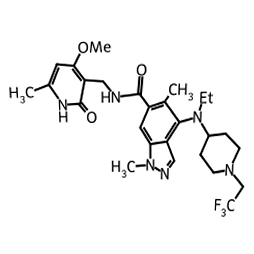 CCN(c1c(C)c(C(=O)NCc2c(OC)cc(C)[nH]c2=O)cc2c1cnn2C)C1CCN(CC(F)(F)F)CC1